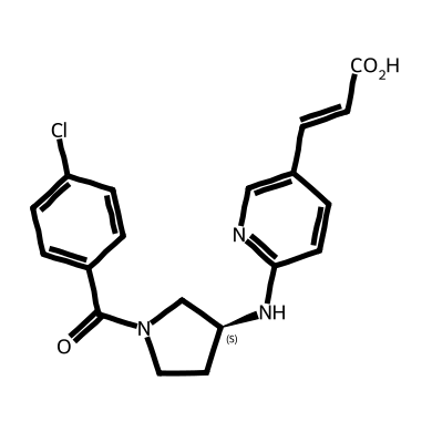 O=C(O)C=Cc1ccc(N[C@H]2CCN(C(=O)c3ccc(Cl)cc3)C2)nc1